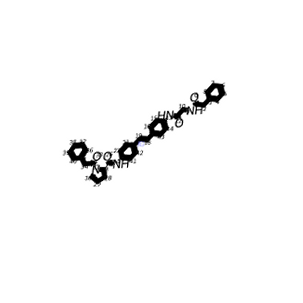 O=C(Cc1ccccc1)NCC(=O)Nc1ccc(/C=C/c2ccc(NC(=O)[C@@H]3CCCN3C(=O)Cc3ccccc3)cc2)cc1